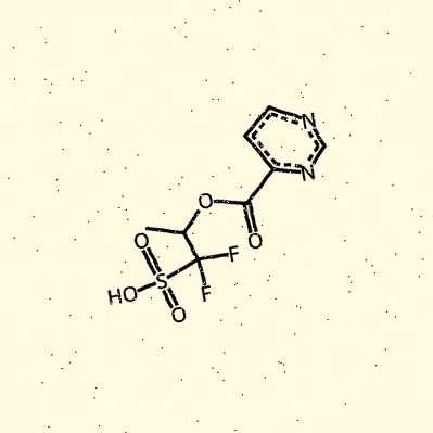 CC(OC(=O)c1ccncn1)C(F)(F)S(=O)(=O)O